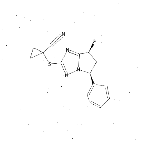 N#CC1(Sc2nc3n(n2)[C@H](c2ccccc2)C[C@@H]3F)CC1